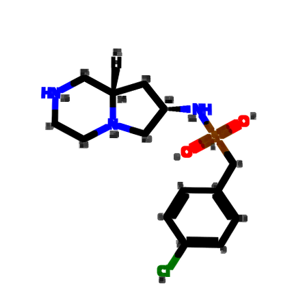 O=S(=O)(Cc1ccc(Cl)cc1)N[C@H]1C[C@H]2CNCCN2C1